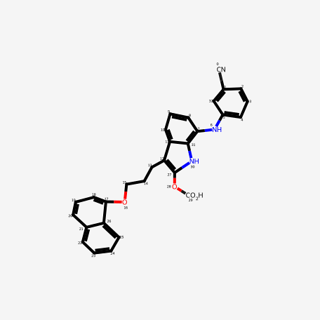 N#Cc1cccc(Nc2cccc3c(CCCOc4cccc5ccccc45)c(OC(=O)O)[nH]c23)c1